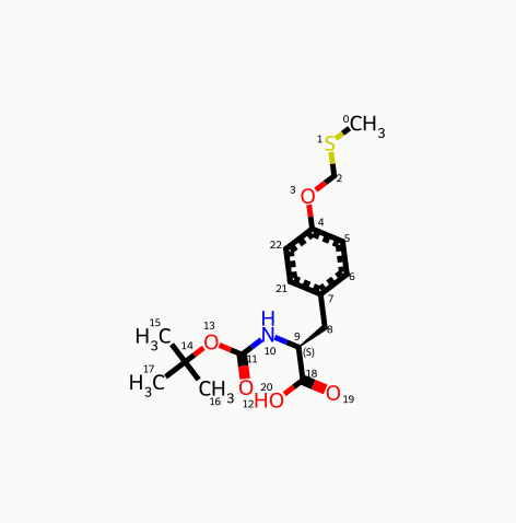 CSCOc1ccc(C[C@H](NC(=O)OC(C)(C)C)C(=O)O)cc1